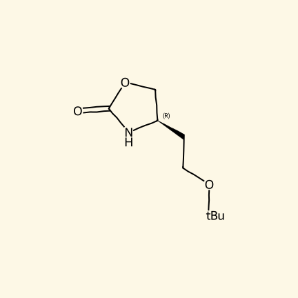 CC(C)(C)OCC[C@@H]1COC(=O)N1